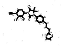 CC1(C)C(=O)N(C2CC=C(C#N)C(Cl)=C2F)C(=S)N1c1ccc(CCCc2ncc[nH]2)cc1